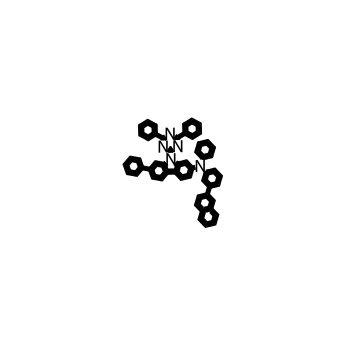 c1ccc(-c2ccc3c4ccc(N(c5ccccc5)c5cccc(-c6ccc7ccccc7c6)c5)cc4n(-c4nc(-c5ccccc5)nc(-c5ccccc5)n4)c3c2)cc1